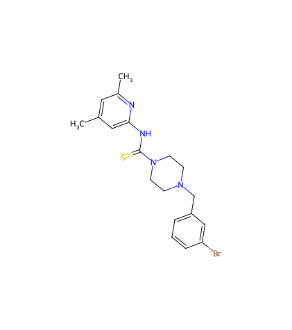 Cc1cc(C)nc(NC(=S)N2CCN(Cc3cccc(Br)c3)CC2)c1